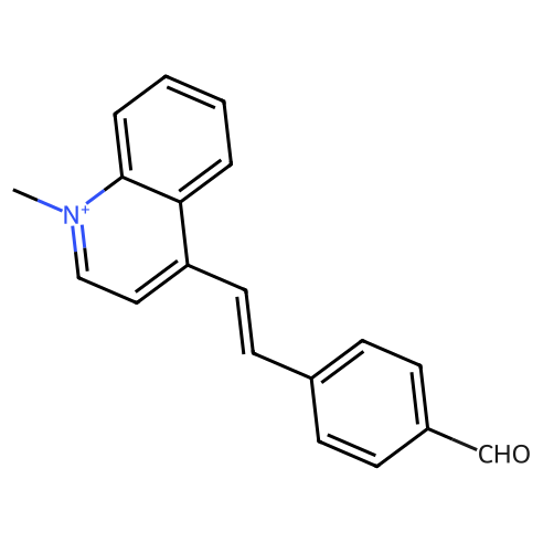 C[n+]1ccc(/C=C/c2ccc(C=O)cc2)c2ccccc21